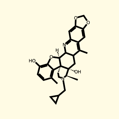 CC1=c2cc3c(cc2=NC2C1C[C@@]1(O)[C@@H](C)N(CC4CC4)CC[C@@]14c1c(C)ccc(O)c1O[C@@H]24)OCO3